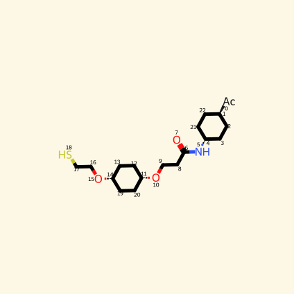 CC(=O)[C@H]1CC[C@H](NC(=O)CCO[C@H]2CC[C@@H](OCCS)CC2)CC1